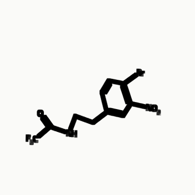 O=C(NCCc1ccc(Br)c([N+](=O)[O-])c1)C(F)(F)F